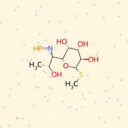 CS[C@H]1O[C@H]([C@H](N=P)[C@@H](C)O)[C@H](O)[C@H](O)[C@H]1O